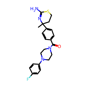 CC1(c2ccc(C(=O)N3CCN(c4ccc(F)cc4)CC3)cc2)CCSC(N)=N1